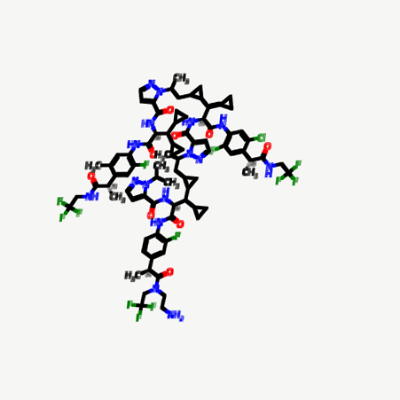 Cc1cc(NC(=O)[C@@H](NC(=O)c2ccnn2C(C)CC2CC2C(=C2CC2)[C@H](NC(=O)c2ccnn2C(C)CC2CC2C(C2CC2)[C@H](NC(=O)c2ccnn2C(C)C)C(=O)Nc2ccc([C@H](C)C(=O)N(CCN)CC(F)(F)F)cc2F)C(=O)Nc2cc(Cl)c([C@@H](C)C(=O)NCC(F)(F)F)cc2F)C(C2CC2)C2CC2)c(F)cc1[C@H](C)C(=O)NCC(F)(F)F